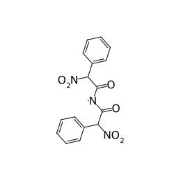 O=C([N]C(=O)C(c1ccccc1)[N+](=O)[O-])C(c1ccccc1)[N+](=O)[O-]